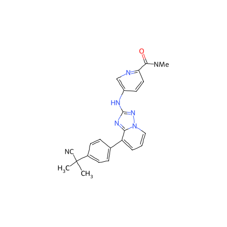 CNC(=O)c1ccc(Nc2nc3c(-c4ccc(C(C)(C)C#N)cc4)cccn3n2)cn1